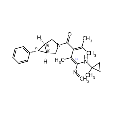 C=N/C(NC1(C)CC1)=C(\C)C(C(=O)N1C[C@@H]2[C@H](C1)[C@H]2c1ccccc1)=C(C)C